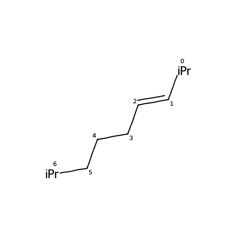 CC(C)C=CCCCC(C)C